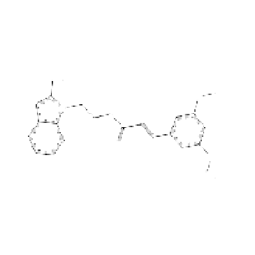 COc1cc(C=CC(=O)NCCn2c(C)cc3ccccc32)cc(OC)c1